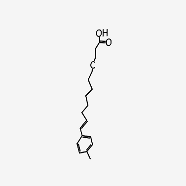 Cc1ccc(/C=C/CCCCCCCCCC(=O)O)cc1